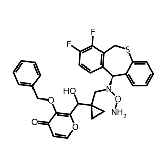 NON(CC1(C(O)c2occc(=O)c2OCc2ccccc2)CC1)[C@@H]1c2ccccc2SCc2c1ccc(F)c2F